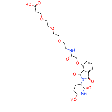 O=C(O)CCOCCOCCOCCNC(=O)COc1cccc2c1C(=O)N(C1CCC(O)NC1=O)C2=O